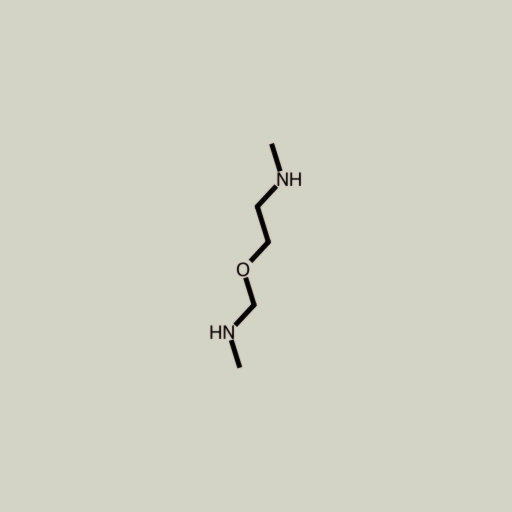 CNCCOCNC